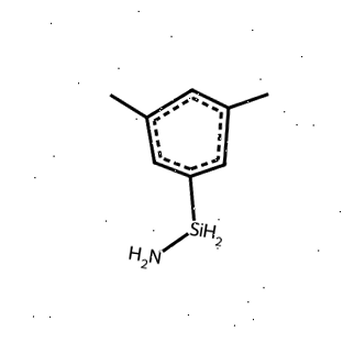 Cc1cc(C)cc([SiH2]N)c1